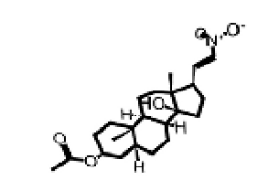 CC(=O)O[C@H]1CC[C@@]2(C)[C@H](CC[C@@H]3[C@@H]2CC[C@]2(C)[C@@H](C=C[N+](=O)[O-])CC[C@]32O)C1